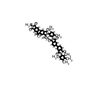 Cc1cc(C)c(N2C(=O)c3ccc(-c4ccc5c(c4)C(=O)N(c4c(C)cc(C)c(N6C(=O)c7ccc([C@@](F)(c8ccc9c(c8)C(=O)N(C)C9=O)C(F)(F)F)cc7C6=O)c4C)C5=O)cc3C2=O)c(C)c1C